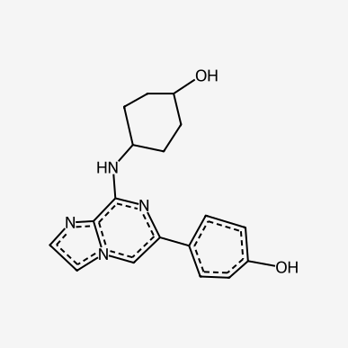 Oc1ccc(-c2cn3ccnc3c(NC3CCC(O)CC3)n2)cc1